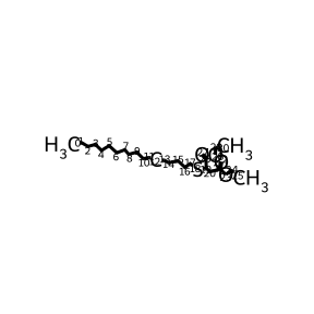 CCCCCCCCCCCCCCCCCCSC(CC(=O)OCC)C(=O)OCC